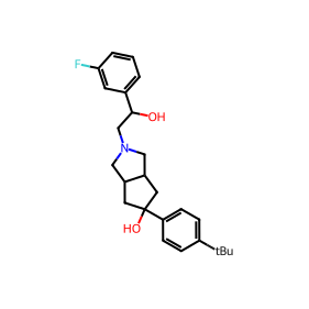 CC(C)(C)c1ccc(C2(O)CC3CN(CC(O)c4cccc(F)c4)CC3C2)cc1